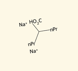 CCCC(CCC)C(=O)O.[Na+].[Na+]